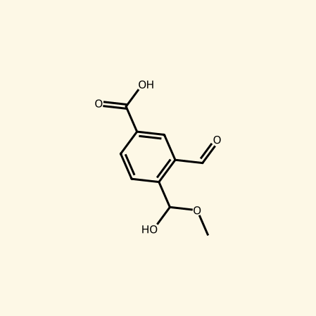 COC(O)c1ccc(C(=O)O)cc1C=O